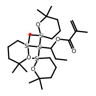 C=C(C)C(=O)OC(CC)[Si]([Si]1(C)CCCC(C)(C)O1)([Si]1(C)CCCC(C)(C)O1)[Si]1(C)CCCC(C)(C)O1